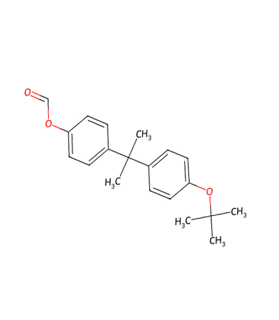 CC(C)(C)Oc1ccc(C(C)(C)c2ccc(OC=O)cc2)cc1